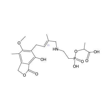 COc1c(C)c2c(c(O)c1C/C=C(\C)CNCCP(=O)(O)OC(C)C(=O)O)C(=O)OC2